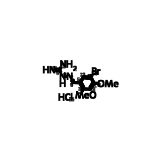 COc1cc(OC)c(C=NNC(=N)N)cc1Br.Cl